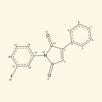 O=C1C=C(c2ccccc2)C(=O)N1c1cccc(F)c1